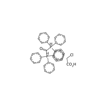 O=C(O)CCl.O=C([PH](c1ccccc1)(c1ccccc1)c1ccccc1)[PH](c1ccccc1)(c1ccccc1)c1ccccc1